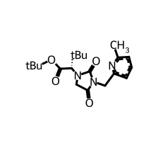 Cc1cccc(CN2C(=O)CN([C@H](C(=O)OC(C)(C)C)C(C)(C)C)C2=O)n1